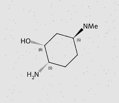 CN[C@H]1CC[C@H](N)[C@H](O)C1